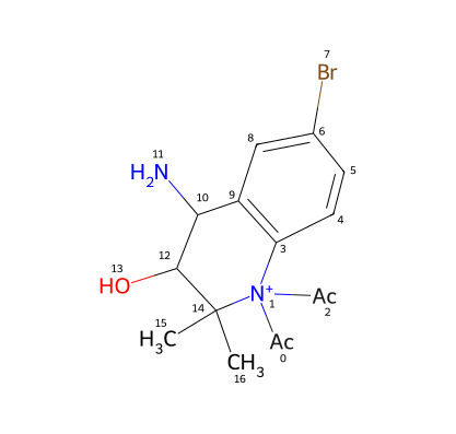 CC(=O)[N+]1(C(C)=O)c2ccc(Br)cc2C(N)C(O)C1(C)C